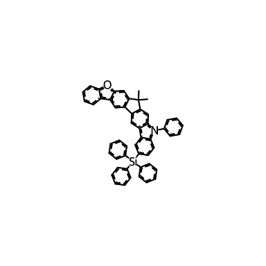 CC1(C)c2cc3oc4ccccc4c3cc2-c2cc3c4cc([Si](c5ccccc5)(c5ccccc5)c5ccccc5)ccc4n(-c4ccccc4)c3cc21